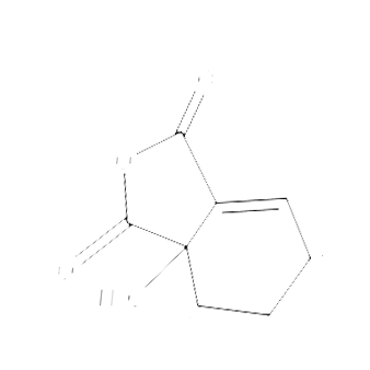 CC12CCCC=C1C(=O)OC2=O